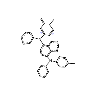 C=C/C=C(\C=C/CC)N(c1ccccc1)c1ccc(N(c2ccccc2)c2ccc(C)cc2)c2ccccc12